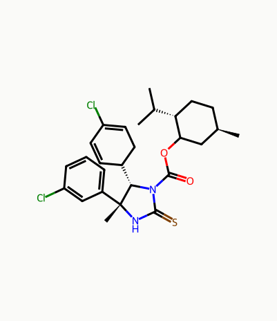 CC(C)[C@@H]1CC[C@@H](C)CC1OC(=O)N1C(=S)N[C@](C)(c2cccc(Cl)c2)[C@@H]1C1C=CC(Cl)=CC1